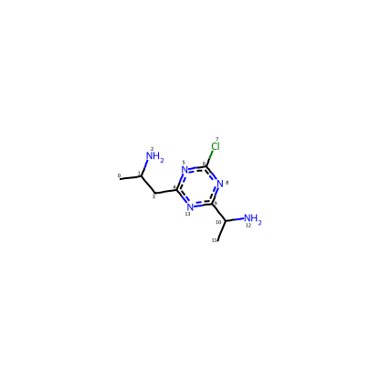 CC(N)Cc1nc(Cl)nc(C(C)N)n1